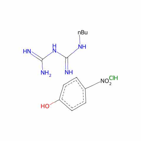 CCCCNC(=N)NC(=N)N.Cl.O=[N+]([O-])c1ccc(O)cc1